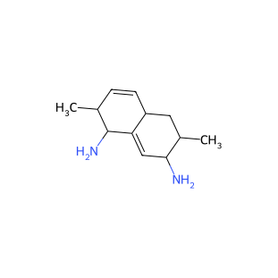 CC1C=CC2CC(C)C(N)C=C2C1N